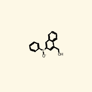 [O-][S+](c1ccccc1)c1cc(CO)c2ccccc2c1